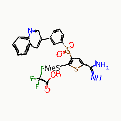 CSc1sc(C(=N)N)cc1S(=O)(=O)c1cccc(-c2cnc3ccccc3c2)c1.O=C(O)C(F)(F)F